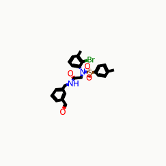 Cc1ccc(S(=O)(=O)N(CC(=O)NCc2cccc(C=O)c2)c2cccc(C)c2Br)cc1